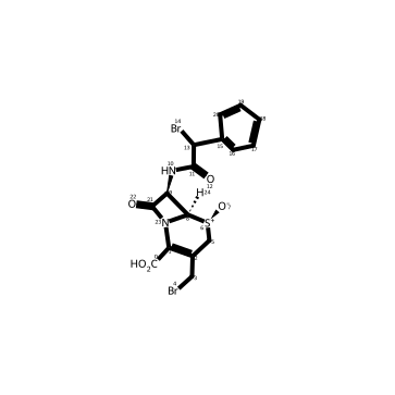 O=C(O)C1=C(CBr)C[S@+]([O-])[C@@H]2[C@H](NC(=O)C(Br)c3ccccc3)C(=O)N12